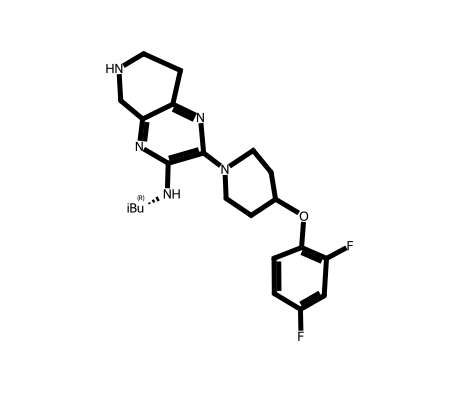 CC[C@@H](C)Nc1nc2c(nc1N1CCC(Oc3ccc(F)cc3F)CC1)CCNC2